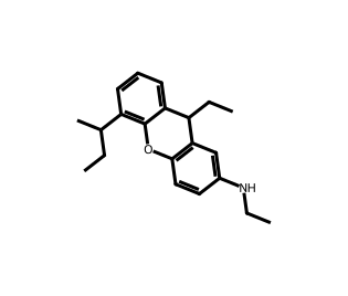 CCNc1ccc2c(c1)C(CC)c1cccc(C(C)CC)c1O2